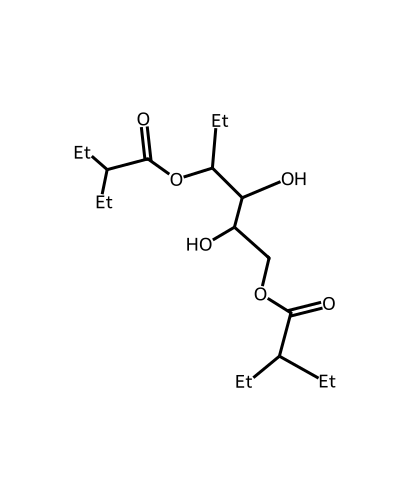 CCC(CC)C(=O)OCC(O)C(O)C(CC)OC(=O)C(CC)CC